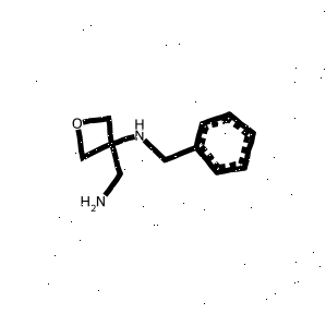 NCC1(NCc2ccccc2)COC1